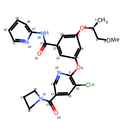 COC[C@H](C)Oc1cc(Oc2ncc(C(=O)N3CCC3)cc2Cl)cc(C(=O)Nc2ccccn2)c1